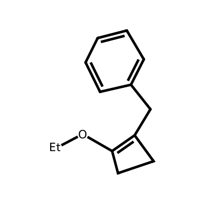 CCOC1=C(Cc2ccccc2)CC1